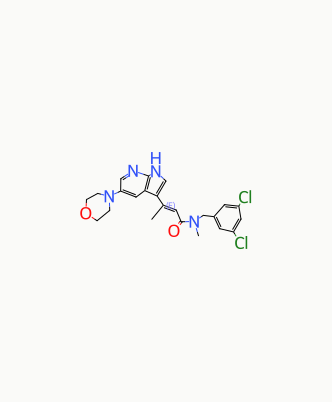 C/C(=C\C(=O)N(C)Cc1cc(Cl)cc(Cl)c1)c1c[nH]c2ncc(N3CCOCC3)cc12